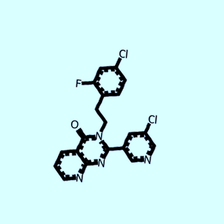 O=c1c2cccnc2nc(-c2cncc(Cl)c2)n1CCc1ccc(Cl)cc1F